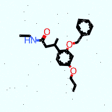 CCCOc1ccc(C(C)CC(=O)NCC)c(OCc2ccccc2)c1